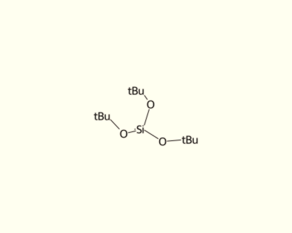 CC(C)(C)O[Si](OC(C)(C)C)OC(C)(C)C